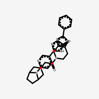 O=C(CN1CC2CCC(C1)N2c1ccc(-c2noc(=O)[nH]2)cn1)N1CCc2nc(-c3ccccc3)sc2C1